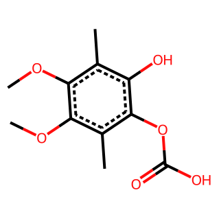 COc1c(C)c(O)c(OC(=O)O)c(C)c1OC